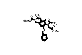 COC(=O)CN(C(=O)C(F)(F)F)c1c(OCc2ccccc2)cc2c(c1F)C[C@H](C)N(C(=O)OC(C)(C)C)C2